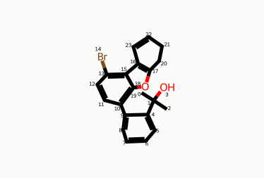 CC(C)(O)c1ccccc1-c1ccc(Br)c2c3c(oc12)CCC=C3